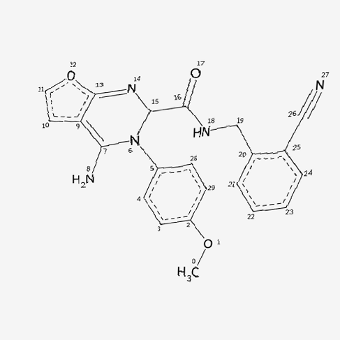 COc1ccc(N2C(N)=c3ccoc3=NC2C(=O)NCc2ccccc2C#N)cc1